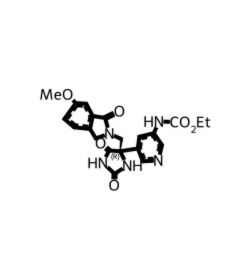 CCOC(=O)Nc1cncc([C@]2(CN3Cc4ccc(OC)cc4C3=O)NC(=O)NC2=O)c1